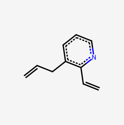 C=CCc1cccnc1C=C